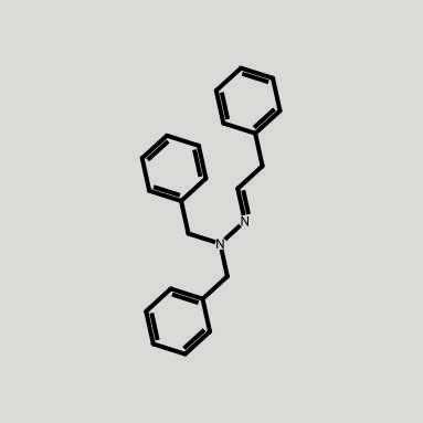 C(Cc1ccccc1)=NN(Cc1ccccc1)Cc1ccccc1